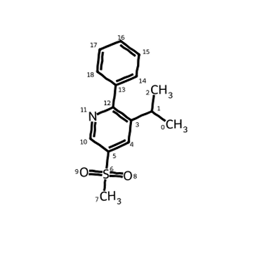 CC(C)c1cc(S(C)(=O)=O)cnc1-c1ccccc1